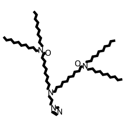 CCCCCCCCCCN(CCCCCCCCCC)C(=O)CCCCCCCCCN(CCCCCCCCCC(=O)N(CCCCCCCCCC)CCCCCCCCCC)CCCn1ccnc1